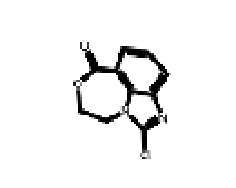 O=C1OCCn2c(Cl)nc3cccc1c32